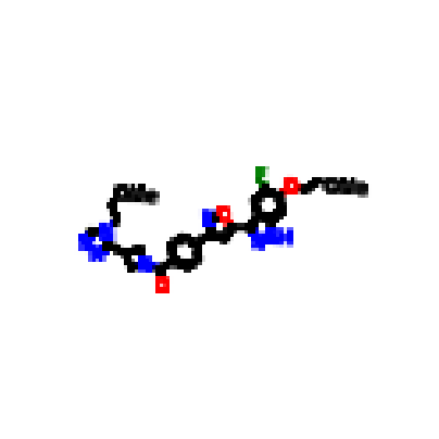 COCCOc1cc2[nH]nc(-c3cc(-c4ccc(C(=O)N5CC(c6nncn6CCOC)C5)cc4)no3)c2cc1F